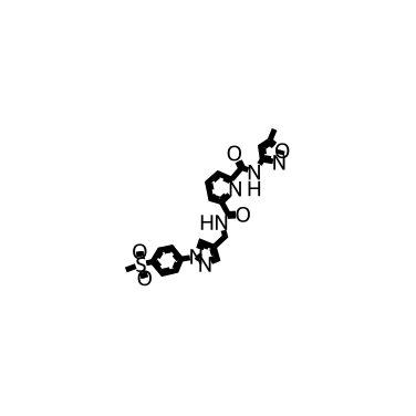 Cc1cc(NC(=O)c2cccc(C(=O)NCc3cnn(-c4ccc(S(C)(=O)=O)cc4)c3)n2)no1